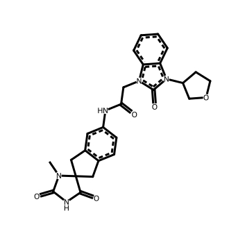 CN1C(=O)NC(=O)C12Cc1ccc(NC(=O)Cn3c(=O)n(C4CCOC4)c4ccccc43)cc1C2